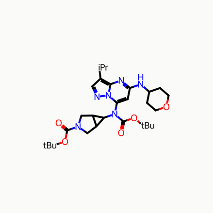 CC(C)c1cnn2c(N(C(=O)OC(C)(C)C)C3C4CN(C(=O)OC(C)(C)C)CC43)cc(NC3CCOCC3)nc12